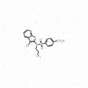 O=C(O)c1ccc(S(=O)(=O)N(CCC(F)(F)F)c2sc3ncccc3c2Cl)cc1